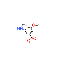 CCOc1cc(C(=O)OC)cc2[nH]ccc12